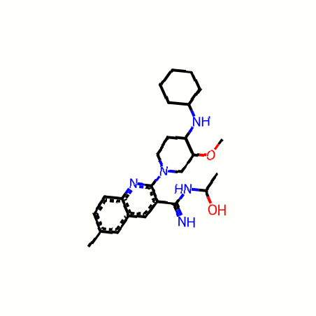 COC1CN(c2nc3ccc(C)cc3cc2C(=N)NC(C)O)CCC1NC1CCCCC1